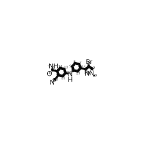 Cn1cc(Br)c(-c2cccc(Nc3ccc(C([NH])=O)c(C#N)c3)c2)n1